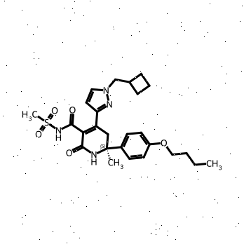 CCCCOc1ccc([C@]2(C)CC(c3ccn(CC4CCC4)n3)=C(C(=O)NS(C)(=O)=O)C(=O)N2)cc1